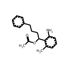 CC(=O)OC(CCCc1ccccc1)c1c(C)cccc1N